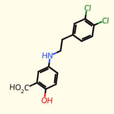 O=C(O)c1cc(NCCc2ccc(Cl)c(Cl)c2)ccc1O